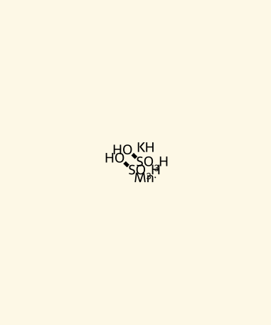 O=S(=O)(O)O.O=S(=O)(O)O.[KH].[Mn]